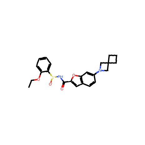 CCOc1ccccc1[S+]([O-])NC(=O)c1cc2ccc(N3CC4(CCC4)C3)cc2o1